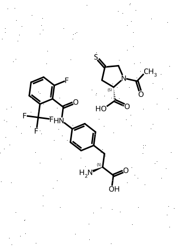 CC(=O)N1CC(=S)C[C@H]1C(=O)O.N[C@@H](Cc1ccc(NC(=O)c2c(F)cccc2C(F)(F)F)cc1)C(=O)O